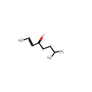 CC=CC(=O)CCC(C)C